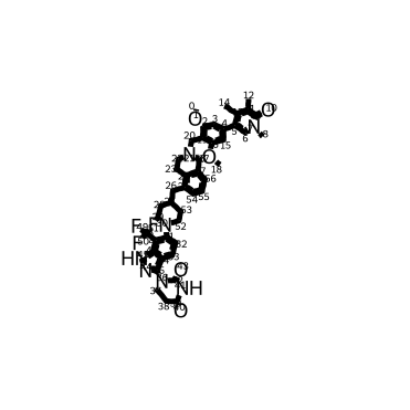 COc1cc(-c2cn(C)c(=O)c(C)c2C)cc(OC)c1CN1CCc2c(CC3CCN(c4ccc5c(N6CCC(=O)NC6=O)n[nH]c5c4C(F)(F)F)CC3)cccc2C1